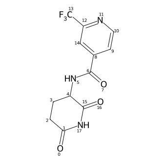 O=C1CCC(NC(=O)c2ccnc(C(F)(F)F)c2)C(=O)N1